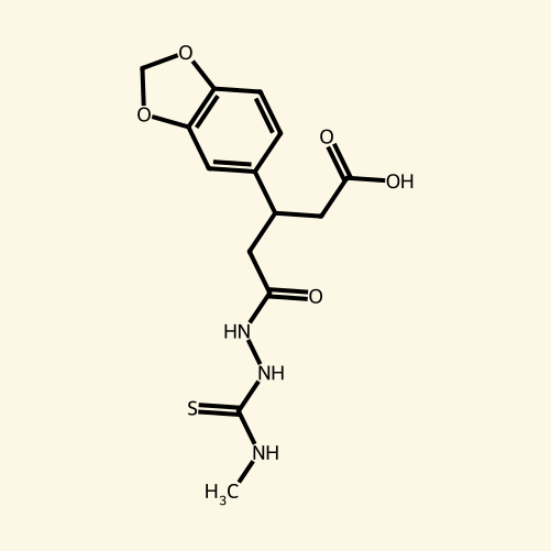 CNC(=S)NNC(=O)CC(CC(=O)O)c1ccc2c(c1)OCO2